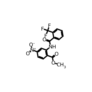 COC(=O)c1ccc([N+](=O)[O-])cc1NC(=O)c1ccccc1C(F)(F)F